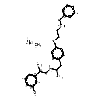 CC(Cc1ccc(OCCNCc2ccccc2)cc1)NCC(O)c1cccc(Cl)c1.Cl.Cl.O